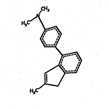 CC1=Cc2c(cccc2-c2ccc(N(C)C)cc2)C1